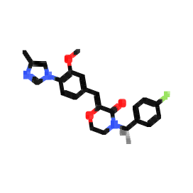 COc1cc(C=C2OCCN([C@@H](C)c3ccc(F)cc3)C2=O)ccc1-n1cnc(C)c1